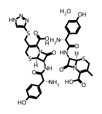 CC1=C(C(=O)O)N2C(=O)[C@@H](NC(=O)[C@H](N)c3ccc(O)cc3)[C@H]2SC1.N[C@@H](C(=O)N[C@@H]1C(=O)N2C(C(=O)O)=C(CSc3c[nH]nn3)CS[C@H]12)c1ccc(O)cc1.O